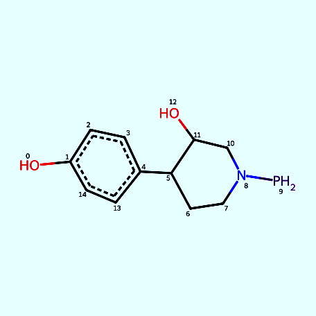 Oc1ccc(C2CCN(P)CC2O)cc1